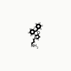 NCCCN1CCC(OC(c2ccccc2)c2ccccc2)C1